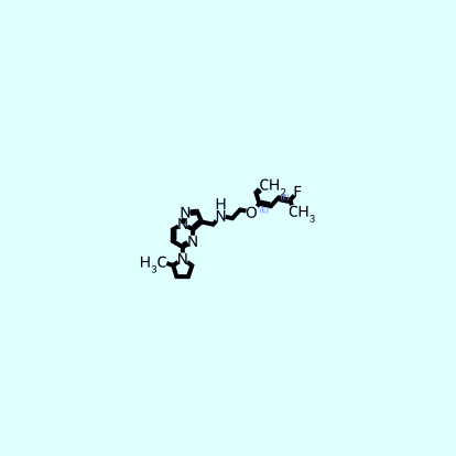 C=C/C(=C\C=C(/C)F)OCCNCc1cnn2ccc(N3CCCC3C)nc12